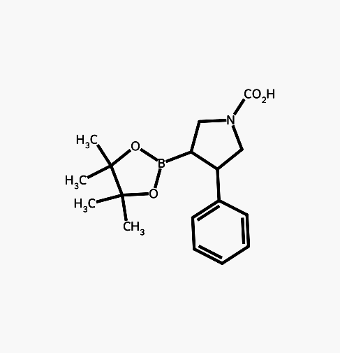 CC1(C)OB(C2CN(C(=O)O)CC2c2ccccc2)OC1(C)C